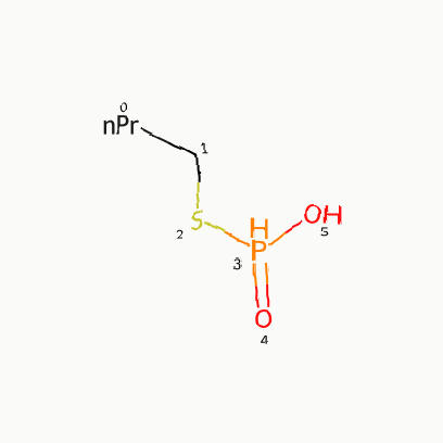 CCCCS[PH](=O)O